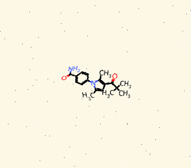 Cc1cc(C(=O)C(C)(C)C)c(C)n1-c1ccc(C(N)=O)cc1